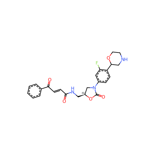 O=C(C=CC(=O)c1ccccc1)NC[C@H]1CN(c2ccc(C3CNCCO3)c(F)c2)C(=O)O1